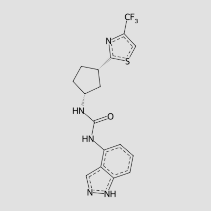 O=C(Nc1cccc2[nH]ncc12)N[C@@H]1CC[C@H](c2nc(C(F)(F)F)cs2)C1